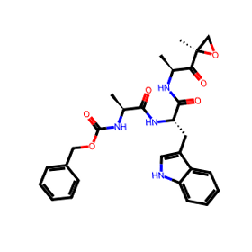 C[C@H](NC(=O)OCc1ccccc1)C(=O)N[C@@H](Cc1c[nH]c2ccccc12)C(=O)N[C@@H](C)C(=O)[C@@]1(C)CO1